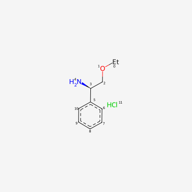 CCOC[C@H](N)c1ccccc1.Cl